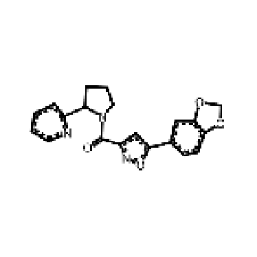 O=C(c1cc(-c2ccc3c(c2)OCO3)on1)N1CCCC1c1ccccn1